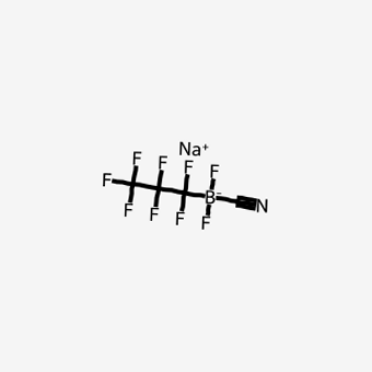 N#C[B-](F)(F)C(F)(F)C(F)(F)C(F)(F)F.[Na+]